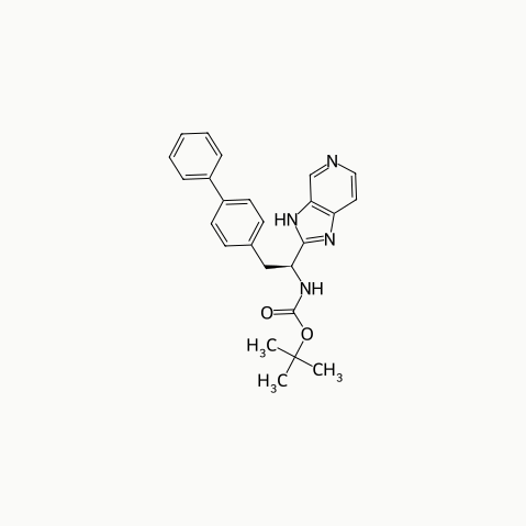 CC(C)(C)OC(=O)N[C@@H](Cc1ccc(-c2ccccc2)cc1)c1nc2ccncc2[nH]1